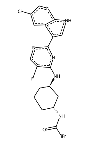 CC(C)C(=O)N[C@@H]1CCC[C@@H](Nc2nc(-c3c[nH]c4ncc(Cl)cc34)ncc2F)C1